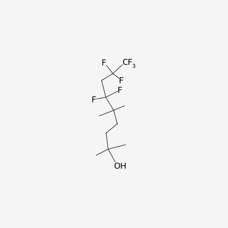 CC(C)(O)CCC(C)(C)C(F)(F)CC(F)(F)C(F)(F)F